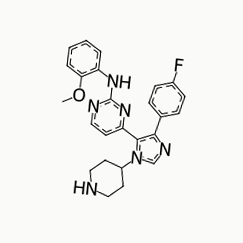 COc1ccccc1Nc1nccc(-c2c(-c3ccc(F)cc3)ncn2C2CCNCC2)n1